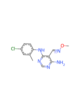 CO/N=C/c1c(N)ncnc1Nc1ccc(Cl)cc1C